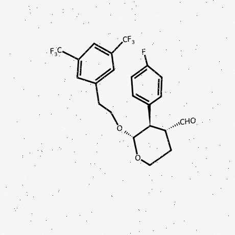 O=C[C@@H]1CCO[C@H](OCCc2cc(C(F)(F)F)cc(C(F)(F)F)c2)[C@H]1c1ccc(F)cc1